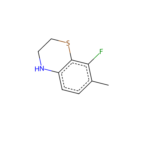 Cc1ccc2c(c1F)SCCN2